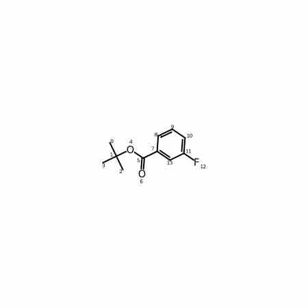 CC(C)(C)OC(=O)c1[c]ccc(F)c1